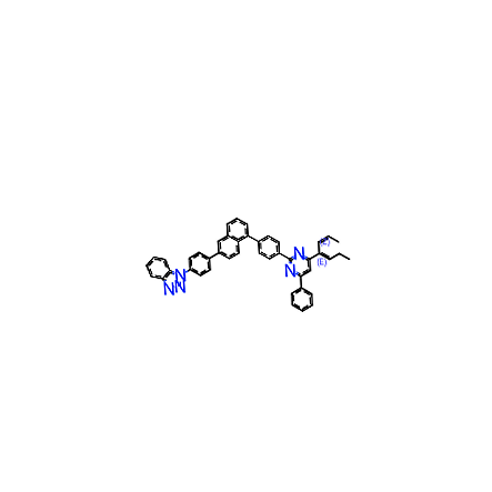 C/C=C\C(=C/CC)c1cc(-c2ccccc2)nc(-c2ccc(-c3cccc4cc(-c5ccc(-n6nnc7ccccc76)cc5)ccc34)cc2)n1